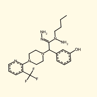 CCCCN(N)/C(=N\N)C(c1cccc(O)c1)N1CCN(c2ncccc2C(F)(F)F)CC1